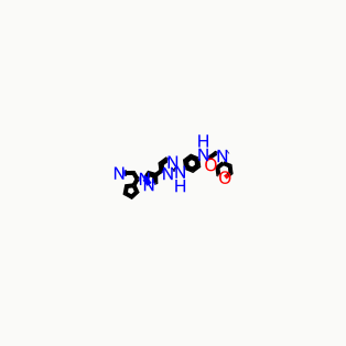 CN(CC(=O)Nc1ccc(Nc2nccc(-c3cnn(C(CC#N)C4CCCC4)c3)n2)cc1)C1CCOCC1